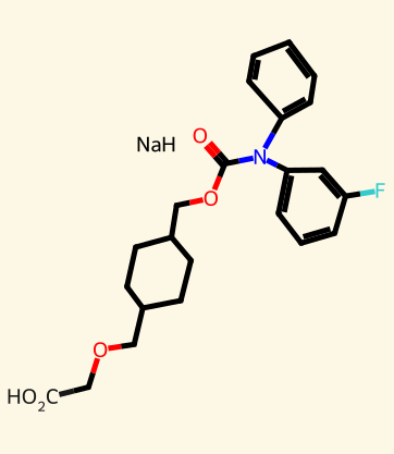 O=C(O)COCC1CCC(COC(=O)N(c2ccccc2)c2cccc(F)c2)CC1.[NaH]